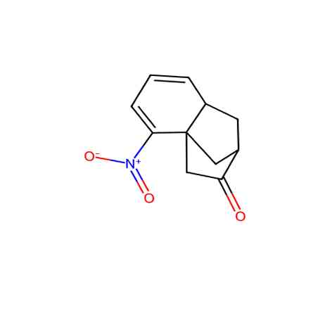 O=C1CC23CC1CC2C=CC=C3[N+](=O)[O-]